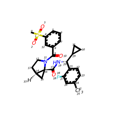 CS(=O)(=O)c1cccc(C(=O)N2CC[C@@H]3C[C@]32C(=O)N[C@@H](c2ccc(C(F)(F)F)cc2F)C2CC2)c1